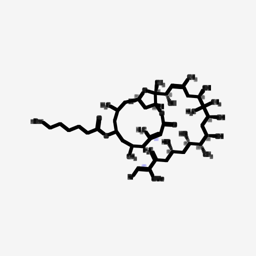 C=C(C[C@H](O)C[C@H](O)[C@@H](C)[C@H](O)C[C@H](O)C(C)(C)[C@H](O)CC(C)=C[C@H](O)[C@@]1(C)O[C@H]2CC(C)CC(OC(=O)CCCCCCCCCCCCCCC)CC(C)C/C(C)=C/C(=O)O[C@@H]1C2)/C(=C/Br)OC